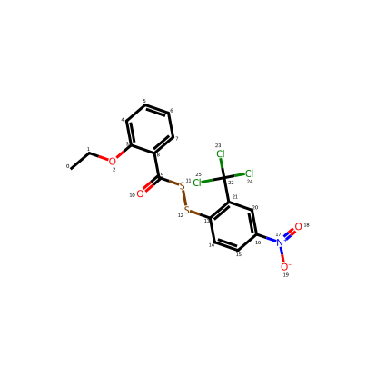 CCOc1ccccc1C(=O)SSc1ccc([N+](=O)[O-])cc1C(Cl)(Cl)Cl